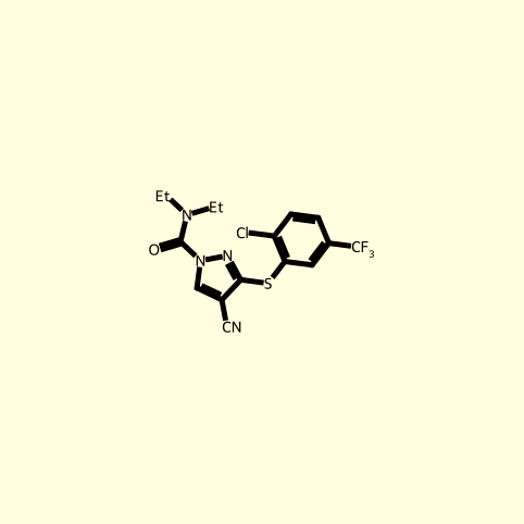 CCN(CC)C(=O)n1cc(C#N)c(Sc2cc(C(F)(F)F)ccc2Cl)n1